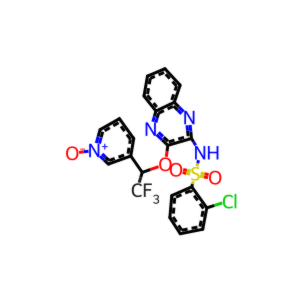 O=S(=O)(Nc1nc2ccccc2nc1OC(c1ccc[n+]([O-])c1)C(F)(F)F)c1ccccc1Cl